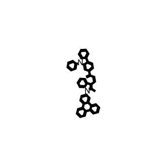 C=C(/C=C\c1c(C)n(-c2ccc3c4ccccc4c4ccccc4c3c2)c2ccccc12)c1ccc2c3ccccc3n(-c3ccccc3)c2c1